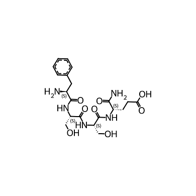 NC(=O)[C@H](CCC(=O)O)NC(=O)[C@H](CO)NC(=O)[C@H](CO)NC(=O)[C@@H](N)Cc1ccccc1